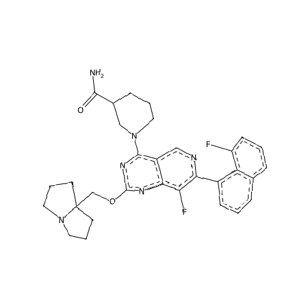 NC(=O)C1CCCN(c2nc(OCC34CCCN3CCC4)nc3c(F)c(-c4cccc5cccc(F)c45)ncc23)C1